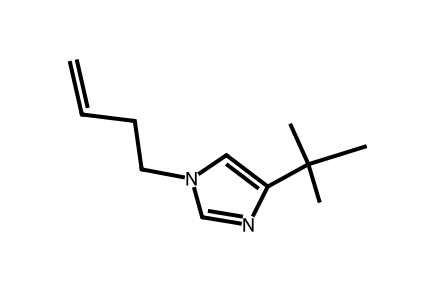 C=CCCn1cnc(C(C)(C)C)c1